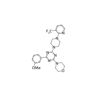 COc1cccc(-c2nc(N3CCOCC3)nc(N3CCN(c4ncccc4C(F)(F)F)CC3)n2)c1